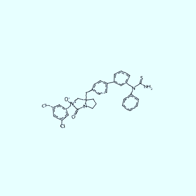 NC(=S)N(c1ccccc1)c1cccc(-c2ccc(CC34CCCN3C(=O)[N+]([O-])(c3cc(Cl)cc(Cl)c3)C4)cc2)c1